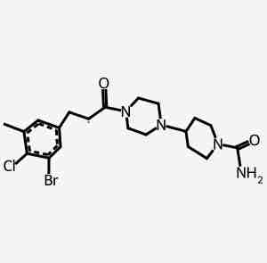 Cc1cc(C[CH]C(=O)N2CCN(C3CCN(C(N)=O)CC3)CC2)cc(Br)c1Cl